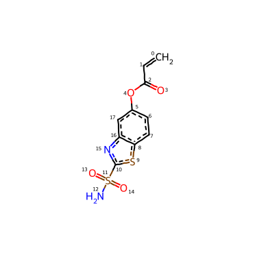 C=CC(=O)Oc1ccc2sc(S(N)(=O)=O)nc2c1